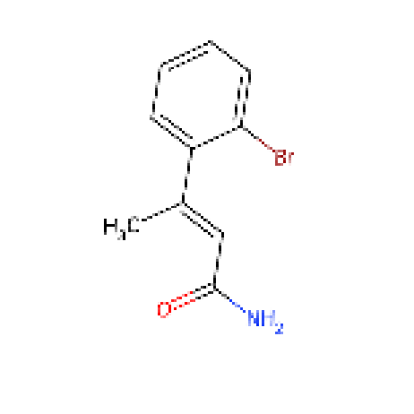 CC(=CC(N)=O)c1ccccc1Br